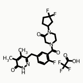 Cc1c(Cc2ccc(F)c(C(=O)N3CCN(C4CCC(F)(F)C4)C(=O)C3)c2)n[nH]c(=O)c1C.O=C(O)C(F)(F)F